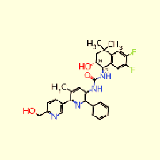 Cc1cc(NC(=O)N[C@@H]2c3cc(F)c(F)cc3C(C)(C)C[C@H]2O)c(-c2ccccc2)nc1-c1ccc(CO)nc1